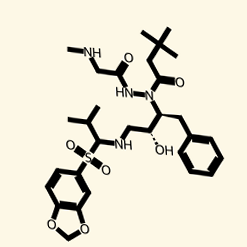 CNCC(=O)NN(C(=O)CC(C)(C)C)[C@@H](Cc1ccccc1)[C@H](O)CNC(C(C)C)S(=O)(=O)c1ccc2c(c1)OCO2